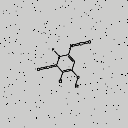 CC(C)OC1=C(Cl)C(=C=O)C(F)C(N=C=O)=C1